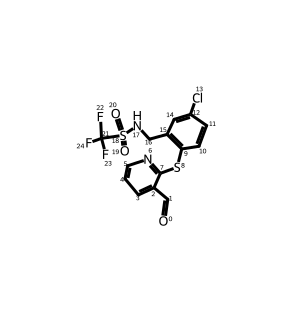 O=Cc1cccnc1Sc1ccc(Cl)cc1CNS(=O)(=O)C(F)(F)F